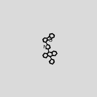 c1ccc(-c2c3ccccc3c(-c3ccc(-c4cccc5c4oc4ccccc45)nc3)c3ccccc23)cc1